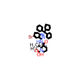 CC(C)(C)[C@H]1C(C(=O)Nc2nn(C(c3ccccc3)(c3ccccc3)c3ccccc3)c3ccc(Br)cc23)CCCN1C(=O)O